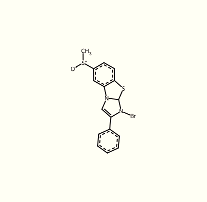 C[S+]([O-])c1ccc2c(c1)N1C=C(c3ccccc3)N(Br)C1S2